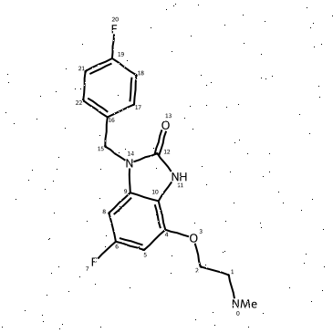 CNCCOc1cc(F)cc2c1[nH]c(=O)n2Cc1ccc(F)cc1